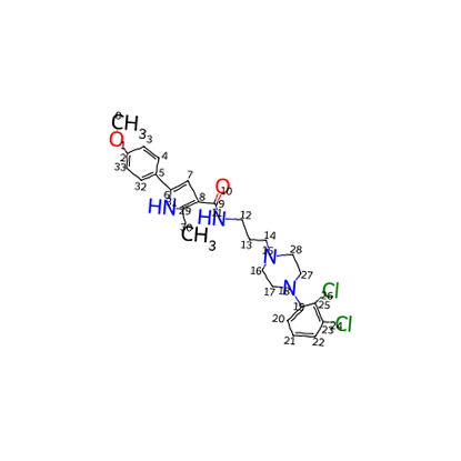 COc1ccc(-c2cc(C(=O)NCCCN3CCN(c4cccc(Cl)c4Cl)CC3)c(C)[nH]2)cc1